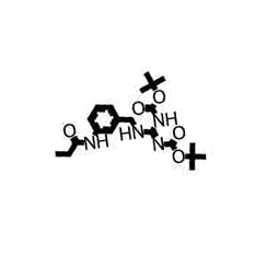 CCC(=O)Nc1cccc(CN/C(=N/C(=O)OC(C)(C)C)NC(=O)OC(C)(C)C)c1